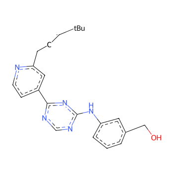 CC(C)(C)[CH]CCc1cc(-c2ncnc(Nc3cccc(CO)c3)n2)ccn1